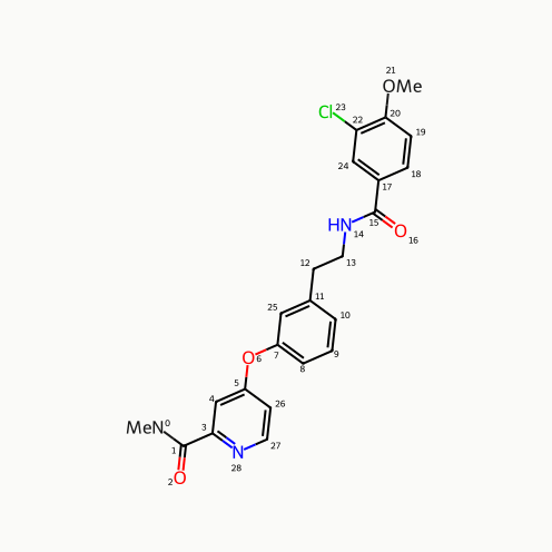 CNC(=O)c1cc(Oc2cccc(CCNC(=O)c3ccc(OC)c(Cl)c3)c2)ccn1